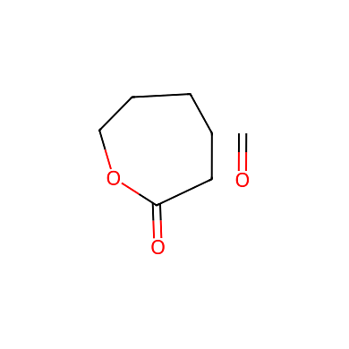 C=O.O=C1CCCCCO1